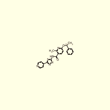 Cc1nc(O[C@@H](C)c2ccccc2)ccc1C(=O)Nc1nnc(-c2ccncc2)s1